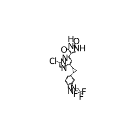 O=c1[nH]cc(-c2cc(C3C[C@H]3c3ccc4cnn(CC(F)(F)F)c4c3)c3ncc(Cl)n3n2)c(=O)[nH]1